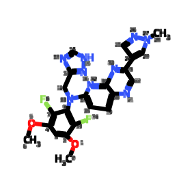 COc1cc(OC)c(F)c(N(Cc2nc[nH]n2)c2ccc3ncc(-c4cnn(C)c4)nc3n2)c1F